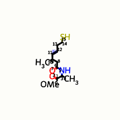 COC(=O)C(C)NC(=O)CC(C)/C=C/CCS